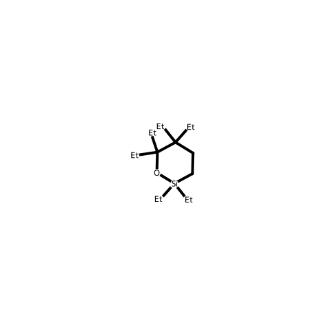 CCC1(CC)CC[Si](CC)(CC)OC1(CC)CC